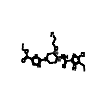 CCOC(=O)c1cnc(N2CC[C@@H](NC(=O)c3nc(Cl)c(CC)[nH]3)[C@@H](OCCF)C2)s1